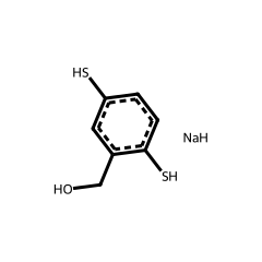 OCc1cc(S)ccc1S.[NaH]